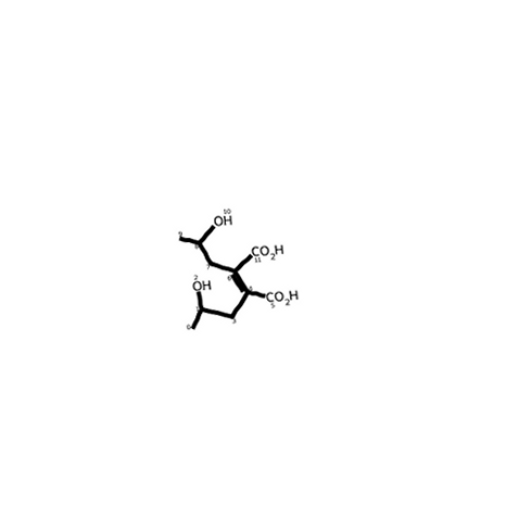 CC(O)C/C(C(=O)O)=C(\CC(C)O)C(=O)O